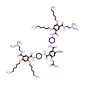 COc1cc(OCC(N)=O)c(C(=O)N[C@H]2CC[C@H](NC(=O)c3cc(C(=O)NCCN(C)C)c(OCCCCCN)cc3OCCCCCN)CC2)cc1C(=O)N[C@H]1CC[C@H](NC(=O)c2cc(C(=O)NCCN(C)C)c(OCCCCCN)cc2OCCCCCN)CC1